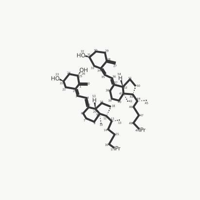 C=C1/C(=C\C=C2/CCC[C@]3(C)[C@@H]([C@H](C)CCCC(C)C)CC[C@@H]23)C[C@@H](O)C[C@@H]1O.C=C1CC[C@H](O)C/C1=C/C=C1\CCC[C@]2(C)[C@@H]([C@H](C)CCCC(C)C)CC[C@@H]12